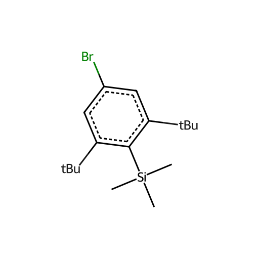 CC(C)(C)c1cc(Br)cc(C(C)(C)C)c1[Si](C)(C)C